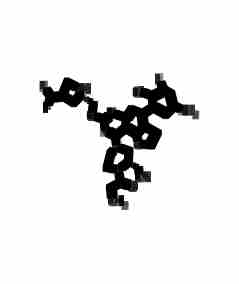 C=CC(=O)N1CCN(c2nc(OC[C@@H]3CC(=C(F)F)CN3)nc3cc(-c4cc(N)cc(F)c4Cl)c4ccoc4c23)C[C@@H]1CC#N